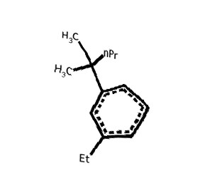 CCCC(C)(C)c1cccc(CC)c1